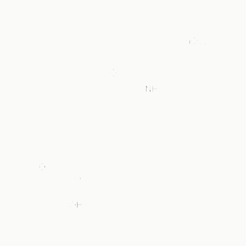 CCCCCCCCCCNC(=O)CCCCC(=O)OO